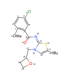 COc1ccc(Cl)cc1C(=O)N=c1sc(C(C)(C)C)cn1CC1CCO1